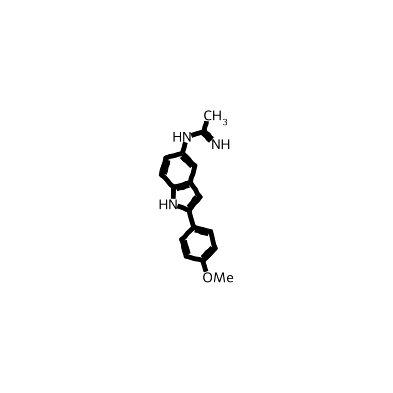 COc1ccc(-c2cc3cc(NC(C)=N)ccc3[nH]2)cc1